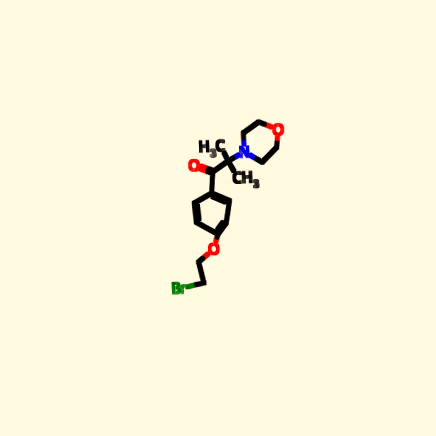 CC(C)(C(=O)c1ccc(OCCBr)cc1)N1CCOCC1